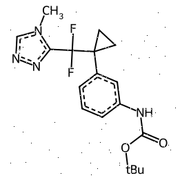 Cn1cnnc1C(F)(F)C1(c2cccc(NC(=O)OC(C)(C)C)c2)CC1